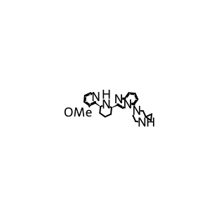 COc1cccnc1[C@@H]1CCC[C@H](c2cn3c(N4CCNC5(CC5)C4)cccc3n2)N1